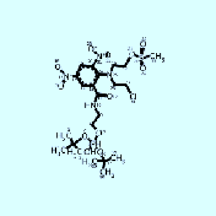 CC(C)(C)O[PH](O)(OCCNC(=O)c1cc([N+](=O)[O-])cc([N+](=O)[O-])c1N(CCCl)CCOS(C)(=O)=O)OC(C)(C)C